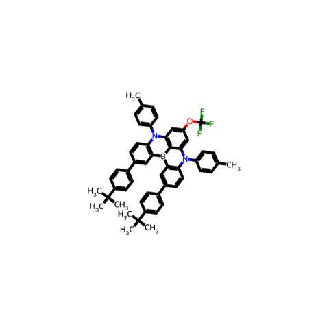 Cc1ccc(N2c3ccc(-c4ccc(C(C)(C)C)cc4)cc3B3c4cc(-c5ccc(C(C)(C)C)cc5)ccc4N(c4ccc(C)cc4)c4cc(OC(F)(F)F)cc2c43)cc1